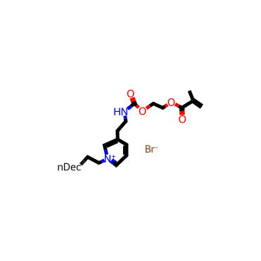 C=C(C)C(=O)OCCOC(=O)NCCc1ccc[n+](CCCCCCCCCCCC)c1.[Br-]